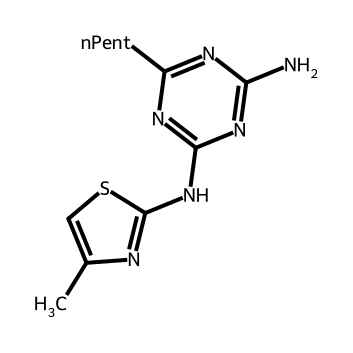 CCCCCc1nc(N)nc(Nc2nc(C)cs2)n1